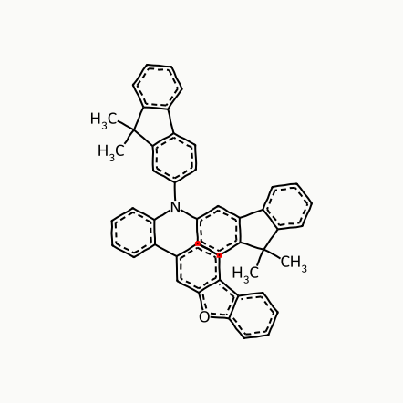 CC1(C)c2ccccc2-c2cc(N(c3ccc4c(c3)C(C)(C)c3ccccc3-4)c3ccccc3-c3ccc4c(c3)oc3ccccc34)ccc21